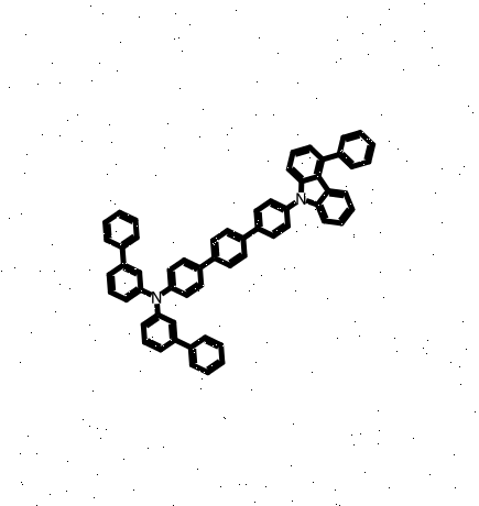 c1ccc(-c2cccc(N(c3ccc(-c4ccc(-c5ccc(-n6c7ccccc7c7c(-c8ccccc8)cccc76)cc5)cc4)cc3)c3cccc(-c4ccccc4)c3)c2)cc1